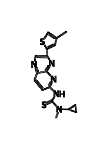 Cc1csc(-c2cnc3ccc(NC(=S)N(C)C4CC4)nc3n2)c1